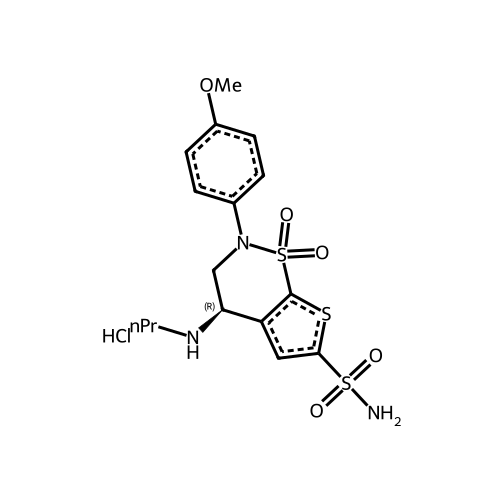 CCCN[C@H]1CN(c2ccc(OC)cc2)S(=O)(=O)c2sc(S(N)(=O)=O)cc21.Cl